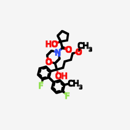 COCCCC[C@@](O)(c1cccc(F)c1-c1ccc(F)c(C)c1)C1CN(C(=O)C2(O)CCCC2)CCO1